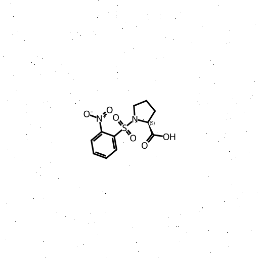 O=C(O)[C@@H]1CCCN1S(=O)(=O)c1ccccc1[N+](=O)[O-]